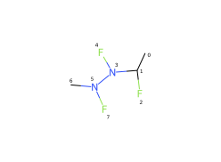 CC(F)N(F)N(C)F